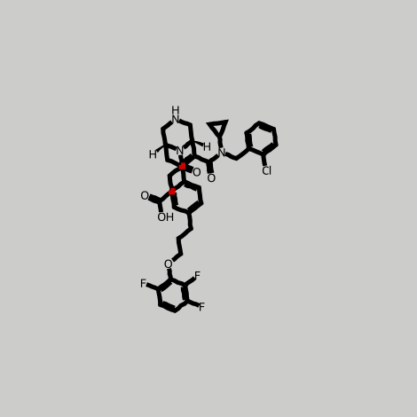 O=C(O)CCC(=O)N1[C@H]2CNC[C@@H]1C(C(=O)N(Cc1ccccc1Cl)C1CC1)=C(c1ccc(CCCOc3c(F)ccc(F)c3F)cc1)C2